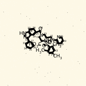 Cc1cc(C)c(S(=O)(=O)N[C@@H](CN(CCCNc2ccccn2)C(=O)c2ccc3[nH]nc(-c4ccccc4)c3c2)C(=O)O)c(C)c1